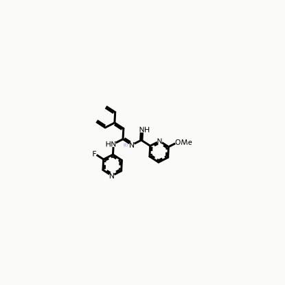 C=CC(C=C)=C/C(=N\C(=N)c1cccc(OC)n1)Nc1ccncc1F